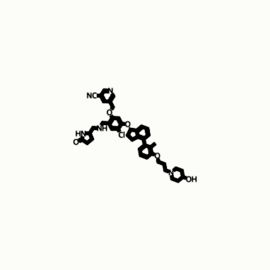 Cc1c(OCCCN2CCC(O)CC2)cccc1-c1cccc2c1CC[C@@H]2Oc1cc(OCc2cncc(C#N)c2)c(CNCC2CCC(=O)N2)cc1Cl